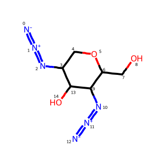 [N-]=[N+]=NC1COC(CO)C(N=[N+]=[N-])C1O